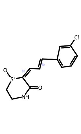 O=C1NCC[S+]([O-])/C1=C/C=C/c1cccc(Cl)c1